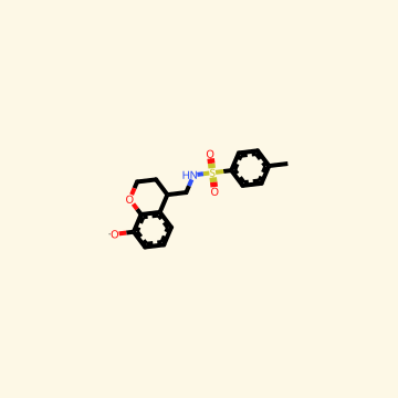 Cc1ccc(S(=O)(=O)NCC2CCOc3c([O])cccc32)cc1